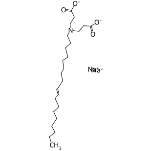 CCCCCCCCC=CCCCCCCCCN(CCC(=O)[O-])CCC(=O)[O-].[Na+].[Na+]